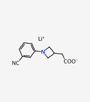 N#Cc1cccc(N2CC(CC(=O)[O-])C2)c1.[Li+]